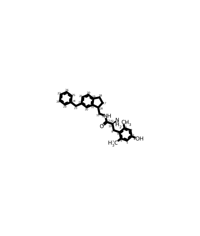 Cc1cc(O)cc(C)c1C[C@H](N)C(=O)NCC1CCc2ccc(Cc3ccccc3)cc21